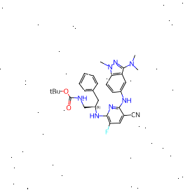 CN(C)c1nn(C)c2ccc(Nc3nc(N[C@@H](CNC(=O)OC(C)(C)C)Cc4ccccc4)c(F)cc3C#N)cc12